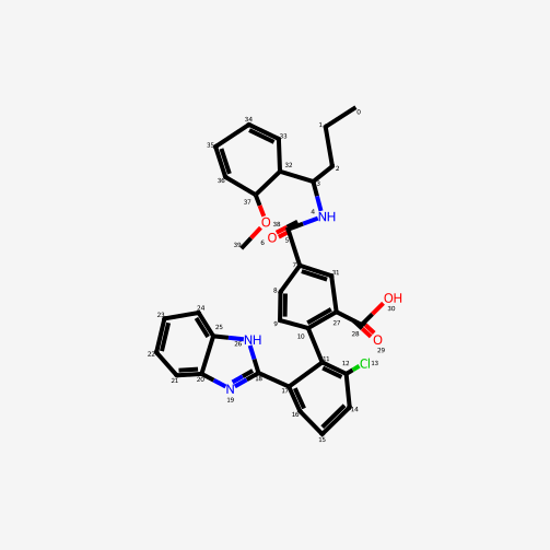 CCCC(NC(=O)c1ccc(-c2c(Cl)cccc2-c2nc3ccccc3[nH]2)c(C(=O)O)c1)C1C=CC=CC1OC